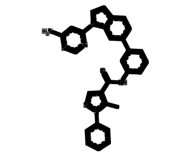 Cc1c(C(=O)Nc2cccc(-c3ccc4ccn(-c5cc(N)ncn5)c4c3)c2)cnn1-c1ccccc1